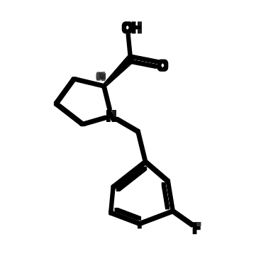 O=C(O)[C@@H]1CCCN1Cc1cc[c]c(F)c1